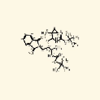 C[C@@H](NC(=O)OC(C)(C)C)[C@@H](CC(NC(=O)OC(C)(C)C)C1(C)CC1)CN1C(=O)c2ccccc2C1=O